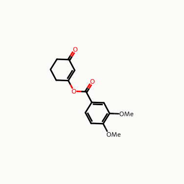 COc1ccc(C(=O)OC2=CC(=O)CCC2)cc1OC